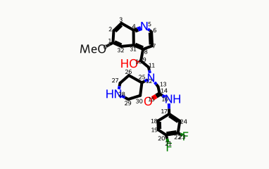 COc1ccc2nccc([C@@H](O)CN(CC(=O)Nc3ccc(F)c(F)c3)C3CCNCC3)c2c1